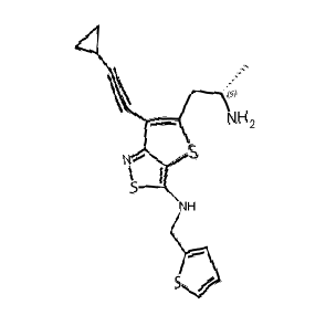 C[C@H](N)Cc1sc2c(NCc3cccs3)snc2c1C#CC1CC1